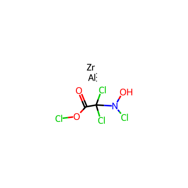 O=C(OCl)C(Cl)(Cl)N(O)Cl.[Al].[Zr]